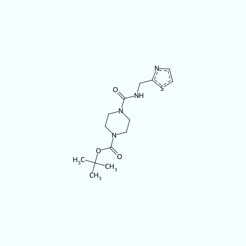 CC(C)(C)OC(=O)N1CCN(C(=O)NCc2nccs2)CC1